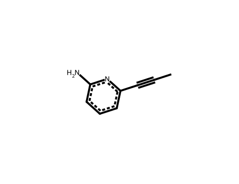 CC#Cc1cccc(N)n1